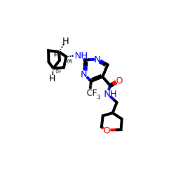 O=C(NCC1CCOCC1)c1cnc(N[C@@H]2C[C@H]3CC[C@@H]2C3)nc1C(F)(F)F